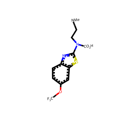 CNCCN(C(=O)O)c1nc2ccc(OC(F)(F)F)cc2s1